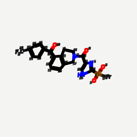 CC(C)S(=O)(=O)c1nc(C(=O)N2CCc3c(cccc3C(=O)c3ccc(C(F)(F)F)cc3)C2)c[nH]1